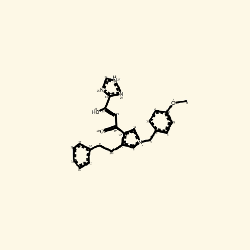 COc1ccc(Cn2cc(CCc3ccccc3)c(C(=O)C=C(O)c3nc[nH]n3)c2)cc1